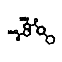 COC(=O)C1CCn2c1cc(SC)c2C(=O)c1ccc(C2CCCCC2)cc1